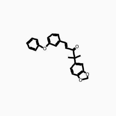 CC(C)(C(=O)C=Cc1cccc(Oc2ccccc2)c1)c1ccc2c(c1)OCO2